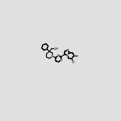 OCC1(c2ccccc2)CCCN(c2ccnc(-c3cnc4cc(F)c(Cl)cn34)n2)C1